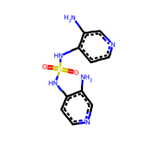 Nc1cnccc1NS(=O)(=O)Nc1ccncc1N